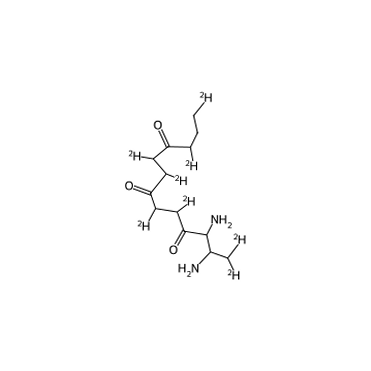 [2H]CCC([2H])C(=O)C([2H])C([2H])C(=O)C([2H])C([2H])C(=O)C(N)C(N)C([2H])[2H]